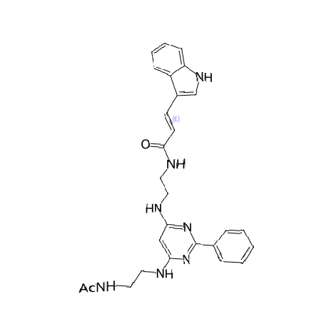 CC(=O)NCCNc1cc(NCCNC(=O)/C=C/c2c[nH]c3ccccc23)nc(-c2ccccc2)n1